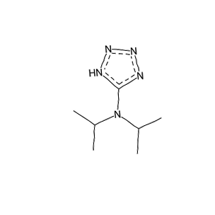 CC(C)N(c1nnn[nH]1)C(C)C